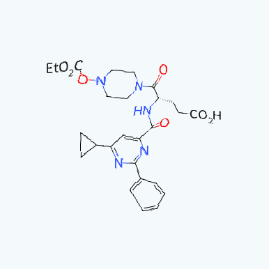 CCOC(=O)ON1CCN(C(=O)[C@H](CCC(=O)O)NC(=O)c2cc(C3CC3)nc(-c3ccccc3)n2)CC1